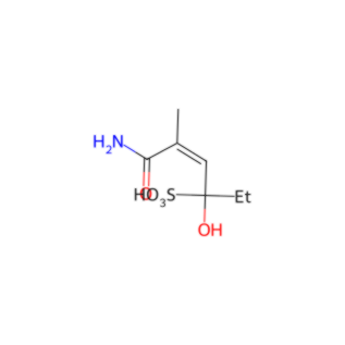 CCC(O)(C=C(C)C(N)=O)S(=O)(=O)O